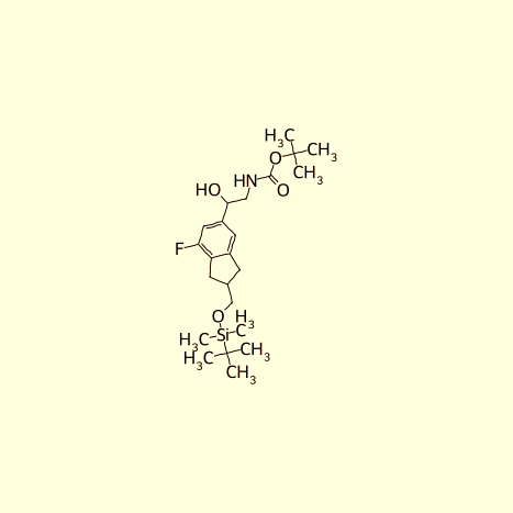 CC(C)(C)OC(=O)NCC(O)c1cc(F)c2c(c1)CC(CO[Si](C)(C)C(C)(C)C)C2